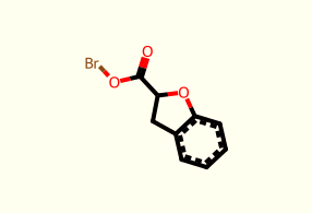 O=C(OBr)C1Cc2ccccc2O1